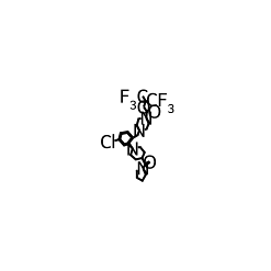 O=C(OC(C(F)(F)F)C(F)(F)F)N1CCN(Cc2ccc(Cl)cc2N2CCC(C(=O)N3CCCC3)CC2)CC1